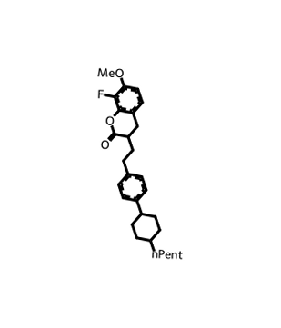 CCCCCC1CCC(c2ccc(CCC3Cc4ccc(OC)c(F)c4OC3=O)cc2)CC1